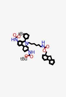 CC(C)(C)OC(=O)NC1=CCC2=c3ccc(NC(=O)OC(C)(C)C)cc3=C(c3ccccc3)N(CCCCCCNC(=O)OCc3cccc4c3Cc3ccccc3-4)C2=C1